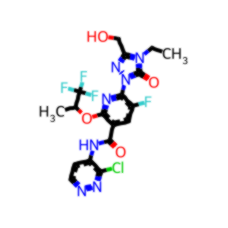 CCn1c(CO)nn(-c2nc(OC(C)C(F)(F)F)c(C(=O)Nc3ccnnc3Cl)cc2F)c1=O